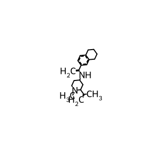 C=C(NC1CCN(C)C(C(=C)C)C1)c1ccc2c(c1)CCCC2